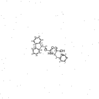 O=C(NC(Cc1ccccn1)C(=O)O)OCC1c2ccccc2-c2ccccc21